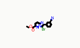 CCOC(=O)c1ccc2nc(-c3cccc(C#N)c3)c(Br)n2n1